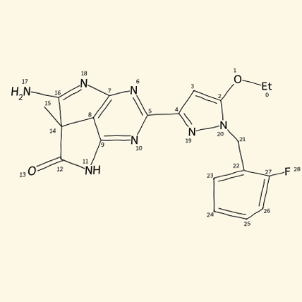 CCOc1cc(-c2nc3c4c(n2)NC(=O)C4(C)C(N)=N3)nn1Cc1ccccc1F